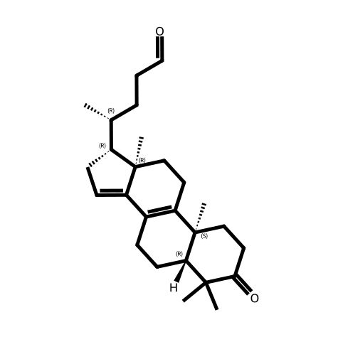 C[C@H](CCC=O)[C@H]1CC=C2C3=C(CC[C@@]21C)[C@@]1(C)CCC(=O)C(C)(C)[C@@H]1CC3